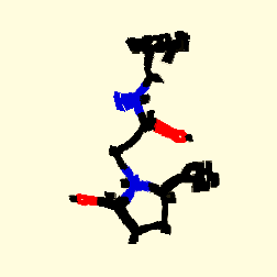 CCOC(=O)CNC(=O)CN1C(=O)CCC1C